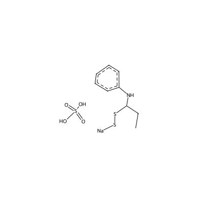 CCC(Nc1ccccc1)S[S][Na].O=S(=O)(O)O